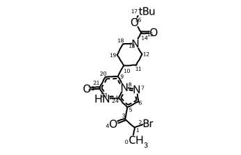 CC(Br)C(=O)c1cnn2c(C3CCN(C(=O)OC(C)(C)C)CC3)cc(=O)[nH]c12